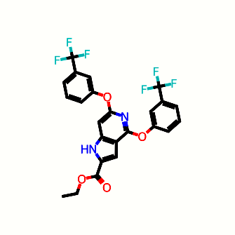 CCOC(=O)c1cc2c(Oc3cccc(C(F)(F)F)c3)nc(Oc3cccc(C(F)(F)F)c3)cc2[nH]1